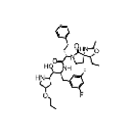 CCCO[C@H]1CN[C@@H]([C@@H](O)[C@H](Cc2cc(F)cc(F)c2)NC(=O)[C@H](CCc2ccccc2)N2CC[C@](NC(C)=O)([C@@H](C)CC)C2=O)C1